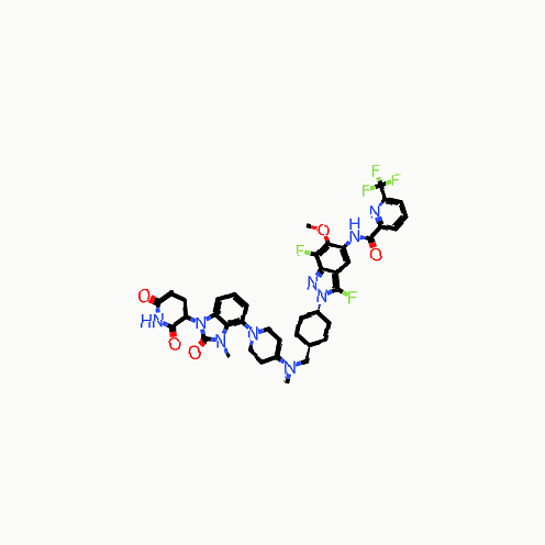 COc1c(NC(=O)c2cccc(C(F)(F)F)n2)cc2c(F)n([C@H]3CC[C@H](CN(C)C4CCN(c5cccc6c5n(C)c(=O)n6C5CCC(=O)NC5=O)CC4)CC3)nc2c1F